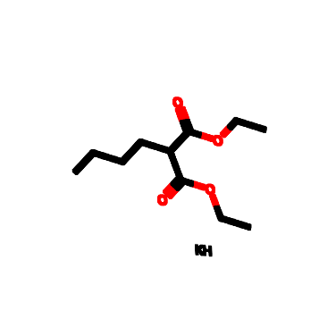 CCCCC(C(=O)OCC)C(=O)OCC.[KH]